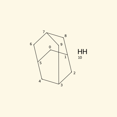 C1C2CC3CC1CC(C2)C3.[HH]